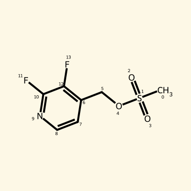 CS(=O)(=O)OCc1ccnc(F)c1F